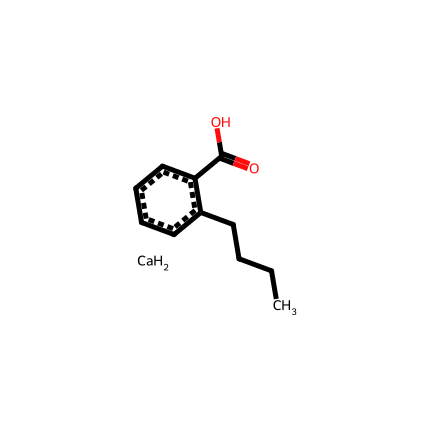 CCCCc1ccccc1C(=O)O.[CaH2]